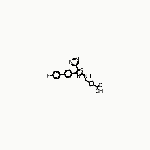 O=C(O)C1CC(CNc2nc(-c3ccc(-c4ccc(F)cc4)cc3)c(-c3cncnc3)s2)C1